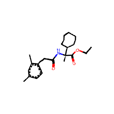 CCOC(=O)[C@](C)(NC(=O)Cc1ccc(C)cc1C)C1CCCCC1